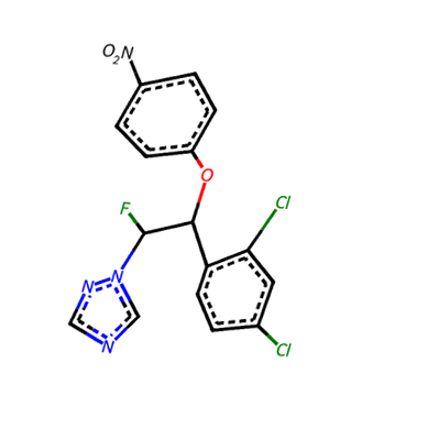 O=[N+]([O-])c1ccc(OC(c2ccc(Cl)cc2Cl)C(F)n2cncn2)cc1